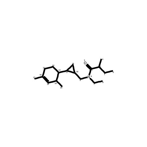 CCC(C)C(=O)N(CC)CC1CC1C1CCC(C)=CC1C